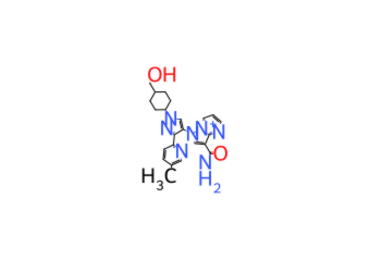 Cc1ccc(-c2nn(C3CCC(CO)CC3)cc2-n2cc(C(N)=O)c3nccc[n+]32)nc1